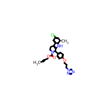 CC#CCOC(=O)N1CCC2=C(NC3C2=CC(Cl)=C[C@@H]3C)C1c1ccc(OCCCn2cncn2)cc1